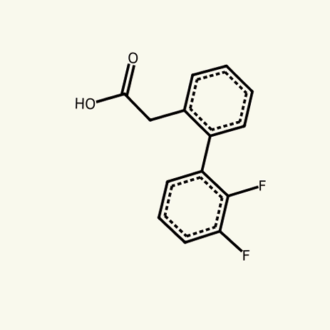 O=C(O)Cc1ccccc1-c1cccc(F)c1F